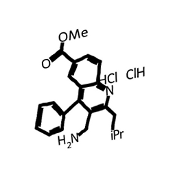 COC(=O)c1ccc2nc(CC(C)C)c(CN)c(-c3ccccc3)c2c1.Cl.Cl